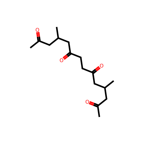 CC(=O)CC(C)CC(=O)CCC(=O)CC(C)CC(C)=O